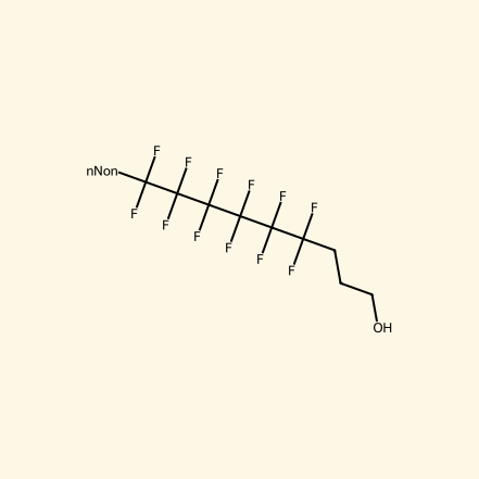 CCCCCCCCCC(F)(F)C(F)(F)C(F)(F)C(F)(F)C(F)(F)C(F)(F)CCCO